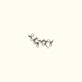 CC(=O)Oc1ccn([C@H]2CC(OC(C)=O)[C@@H](C)O2)c(=O)n1